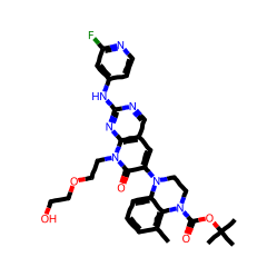 Cc1cccc2c1N(C(=O)OC(C)(C)C)CCN2c1cc2cnc(Nc3ccnc(F)c3)nc2n(CCOCCO)c1=O